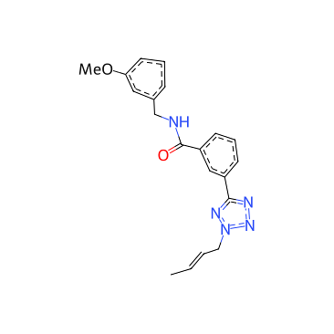 C/C=C/Cn1nnc(-c2cccc(C(=O)NCc3cccc(OC)c3)c2)n1